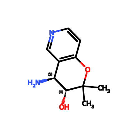 CC1(C)Oc2ccncc2[C@H](N)[C@H]1O